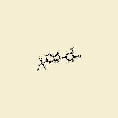 CCS(=O)(=O)c1ccc2nc(-c3ccc(Cl)c(Cl)c3)oc2c1